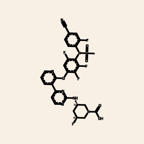 CS(=O)(=O)N(c1ccc(C#N)cc1F)c1c(F)cc(Oc2ncccc2-c2ccnc(N[C@H]3C[C@H](F)CN(C(=O)O)C3)n2)c(F)c1F